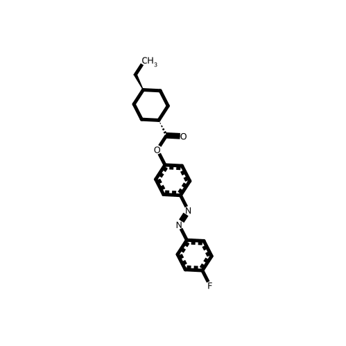 CC[C@H]1CC[C@H](C(=O)Oc2ccc(N=Nc3ccc(F)cc3)cc2)CC1